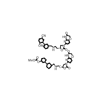 COC(=O)Oc1cccc(-c2cccc(CNCC[C@H]3CN(c4ccc5c(n4)NC(=O)CO5)C(=O)O3)c2)c1.COc1ccc(C#N)cc1-c1cccc(CNCC[C@H]2CN(c3ccc4c(n3)NC(=O)CO4)C(=O)O2)c1